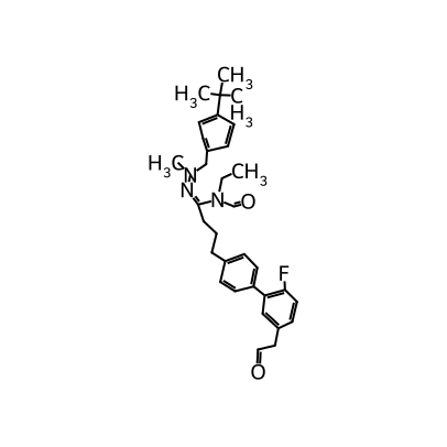 CCN(C=O)/C(CCCc1ccc(-c2cc(CC=O)ccc2F)cc1)=N\N(C)Cc1ccc(C(C)(C)C)cc1